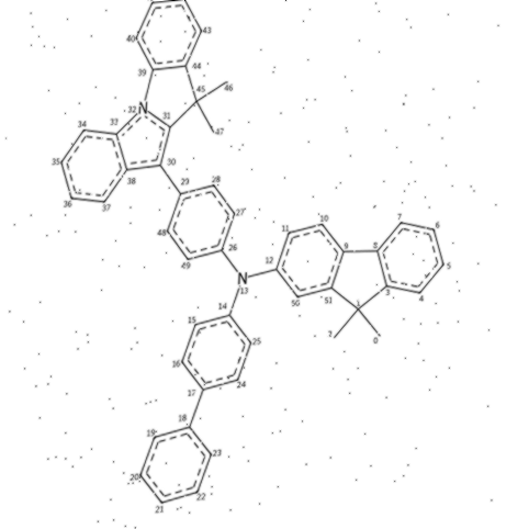 CC1(C)c2ccccc2-c2ccc(N(c3ccc(-c4ccccc4)cc3)c3ccc(-c4c5n(c6ccccc46)-c4ccccc4C5(C)C)cc3)cc21